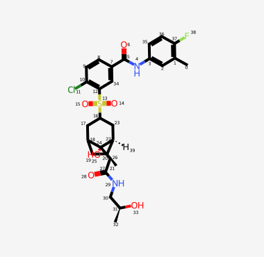 Cc1cc(NC(=O)c2ccc(Cl)c(S(=O)(=O)C3CC4C[C@H](C)[C@H](C3)[C@]4(O)CC(=O)NC[C@H](C)O)c2)ccc1F